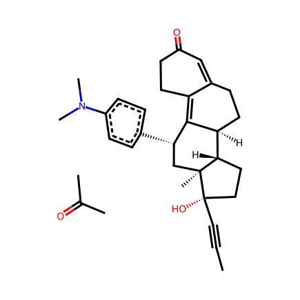 CC#C[C@]1(O)CC[C@H]2[C@@H]3CCC4=CC(=O)CCC4=C3[C@@H](c3ccc(N(C)C)cc3)C[C@@]21C.CC(C)=O